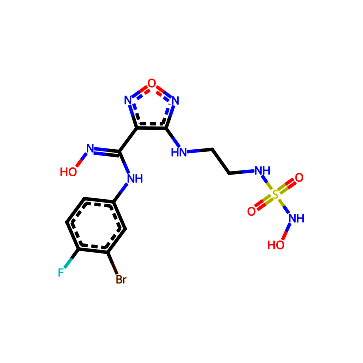 O=S(=O)(NO)NCCNc1nonc1/C(=N/O)Nc1ccc(F)c(Br)c1